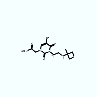 COC(=O)Cn1cc(Br)c(=O)n([C@@H](C)CNC2(C)COC2)c1=O